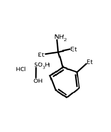 CCc1ccccc1C(N)(CC)CC.Cl.O=S(=O)(O)O